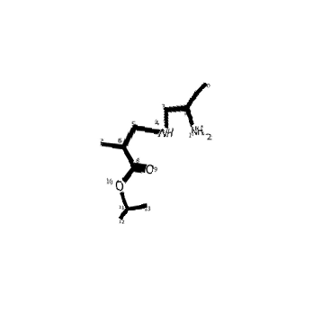 CC(N)CNCC(C)C(=O)OC(C)C